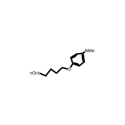 CCCCCCCCCCCCOc1ccc([N]C)cc1